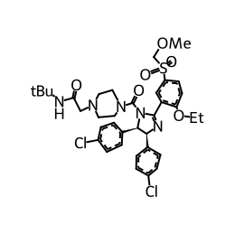 CCOc1ccc(S(=O)(=O)COC)cc1C1=N[C@@H](c2ccc(Cl)cc2)[C@@H](c2ccc(Cl)cc2)N1C(=O)N1CCN(CC(=O)NC(C)(C)C)CC1